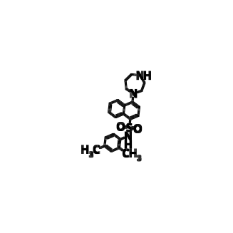 Cc1ccc(NS(=O)(=O)c2ccc(N3CCCNCC3)c3ccccc23)c(C)c1